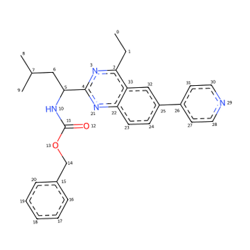 CCc1nc(C(CC(C)C)NC(=O)OCc2ccccc2)nc2ccc(-c3ccncc3)cc12